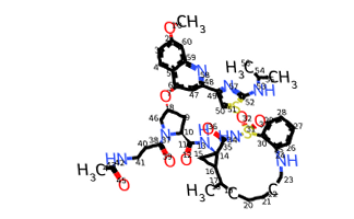 COc1ccc2c(O[C@@H]3C[C@@H](C(=O)N[C@]45CC4C(C)CCCCCNc4ccccc4S(=O)(=O)NC5=O)N(C(=O)CCNC(C)=O)C3)cc(-c3csc(NC(C)C)n3)nc2c1